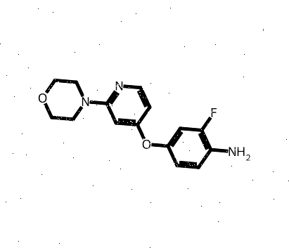 Nc1ccc(Oc2ccnc(N3CCOCC3)c2)cc1F